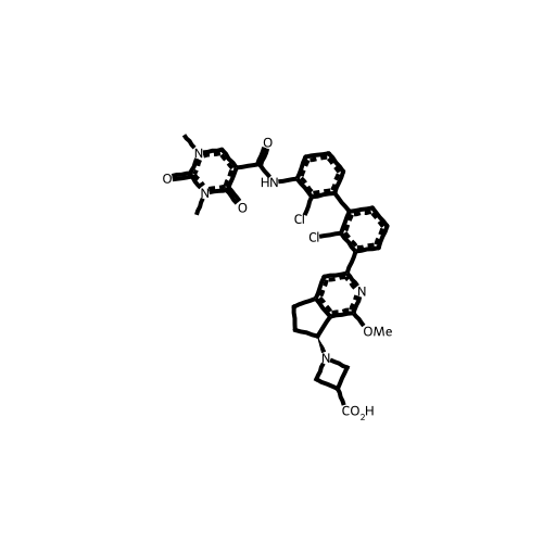 COc1nc(-c2cccc(-c3cccc(NC(=O)c4cn(C)c(=O)n(C)c4=O)c3Cl)c2Cl)cc2c1[C@@H](N1CC(C(=O)O)C1)CC2